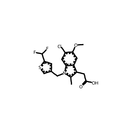 COc1cc2c(CC(=O)O)c(C)n(Cc3csc(C(F)F)c3)c2cc1Cl